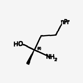 CCCCC[C@](C)(N)O